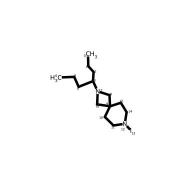 CCCC(CCC)N1CC2(CCN(I)CC2)C1